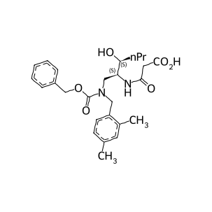 CCC[C@H](O)[C@H](CN(Cc1ccc(C)cc1C)C(=O)OCc1ccccc1)NC(=O)CC(=O)O